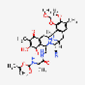 C=C(C)OC(=O)N[C@@H](C)C(=O)NC[C@H]1C2=C(CC3[C@@H]4N[C@H](Cc5cc(C)c(OC)c(OCOC)c54)[C@H](C#N)N31)C(=O)C(C)=C(O)C2=O